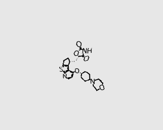 O=C1NC(=O)[C@H](C[C@H]2CCc3sc4nccc(O[C@H]5CC[C@H](N6CCOCC6)CC5)c4c32)O1